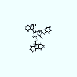 O=C(O)[C@@H](Cc1c[nH]c2ccccc12)N(C(=O)OCc1ccccc1)C(=O)OCC1c2ccccc2-c2ccccc21